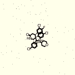 O=C1C[C@@H](c2ccc(F)c(Cl)c2)[C@]2(C(=O)Nc3cc(Cl)ccc32)[C@H](c2cc(Cl)ccc2OC2CCOCC2)N1